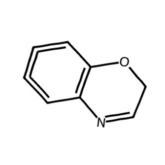 C1=C=CC2=C(C=1)N=CCO2